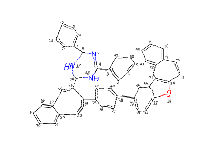 c1ccc(C2=NC(c3ccccc3)NC(c3cc4ccccc4cc3-c3ccc(-c4ccc5oc6ccc7ccccc7c6c5c4)cc3)N2)cc1